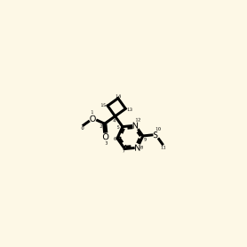 COC(=O)C1(c2ccnc(SC)n2)CCC1